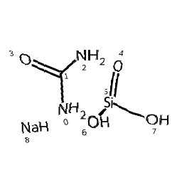 NC(N)=O.O=[Si](O)O.[NaH]